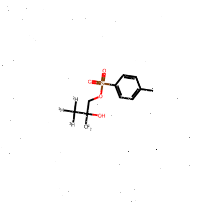 [2H]C([2H])([2H])C(O)(COS(=O)(=O)c1ccc(C)cc1)C(F)(F)F